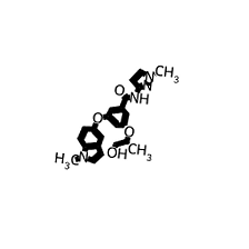 C[C@@H](CO)Oc1cc(Oc2ccc3c(ccn3C)c2)cc(C(=O)Nc2ccn(C)n2)c1